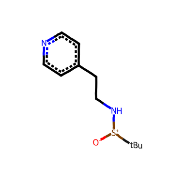 CC(C)(C)[S+]([O-])NCCc1ccncc1